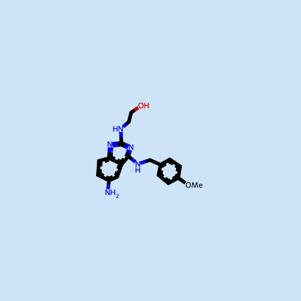 COc1ccc(CNc2nc(NCCO)nc3ccc(N)cc23)cc1